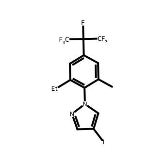 CCc1cc(C(F)(C(F)(F)F)C(F)(F)F)cc(C)c1-n1cc(I)cn1